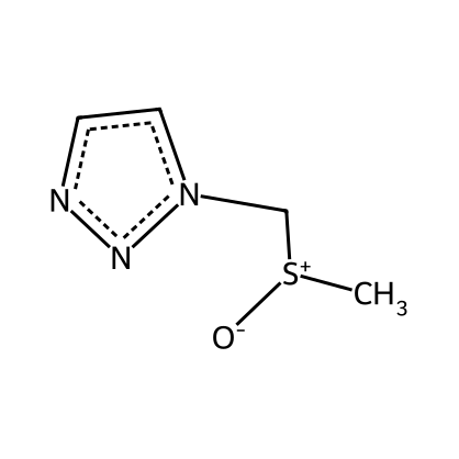 C[S+]([O-])Cn1ccnn1